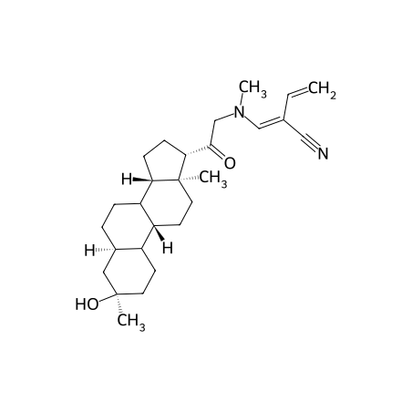 C=C/C(C#N)=C\N(C)CC(=O)[C@H]1CC[C@H]2C3CC[C@@H]4C[C@](C)(O)CCC4[C@H]3CC[C@]12C